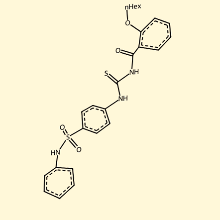 CCCCCCOc1ccccc1C(=O)NC(=S)Nc1ccc(S(=O)(=O)Nc2ccccc2)cc1